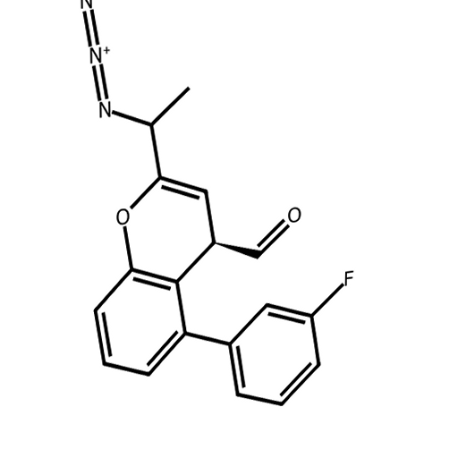 CC(N=[N+]=[N-])C1=C[C@@H](C=O)c2c(cccc2-c2cccc(F)c2)O1